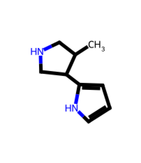 CC1CNCC1c1ccc[nH]1